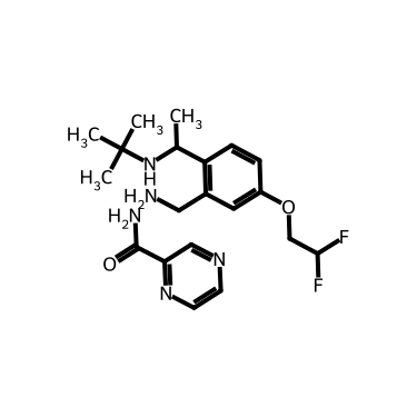 CC(NC(C)(C)C)c1ccc(OCC(F)F)cc1CN.NC(=O)c1cnccn1